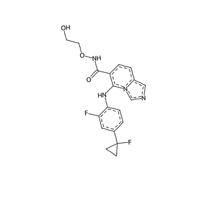 O=C(NOCCO)c1ccc2cncn2c1Nc1ccc(C2(F)CC2)cc1F